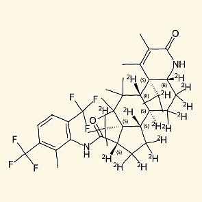 [2H]C1([2H])C([2H])([2H])[C@@]2([2H])NC(=O)C(C)=C(C)[C@]2(C([2H])(C)C)[C@@]2([2H])C(C)(C)C(C)(C)[C@@]3(C([2H])(C)C)[C@@]([2H])(C([2H])([2H])C([2H])([2H])[C@]3([2H])C(=O)Nc3c(C(F)(F)F)ccc(C(F)(F)F)c3C)[C@]12[2H]